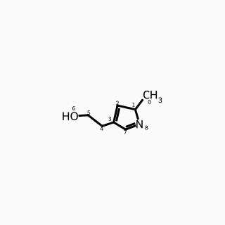 CC1C=C(CCO)C=N1